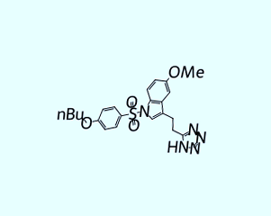 CCCCOc1ccc(S(=O)(=O)n2cc(CCc3nnn[nH]3)c3cc(OC)ccc32)cc1